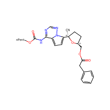 CCCCCOC(=O)Nc1ncnn2c([C@@]3(C#N)CC[C@@H](COC(=O)Cc4ccccc4)O3)ccc12